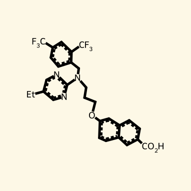 CCc1cnc(N(CCCOc2ccc3cc(C(=O)O)ccc3c2)Cc2ccc(C(F)(F)F)cc2C(F)(F)F)nc1